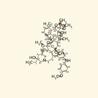 CC[C@]1(O)C[C@H]2CN(CCC3=C(Cc4ccc(Nc5ccc(OC)cc5)cc43)[C@@](C(=O)OC)(C3C=C4C(=CC3OC)N(C)[C@H]3[C@@](O)(C(=O)OC)[C@H](OC(C)=O)[C@]5(CC)C=CCN6CC[C@]43[C@@H]65)C2)C1